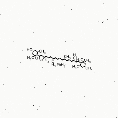 CC1=C(/C=C/C(C)=C/C=C/C(C)=C/C=C/C=C(C)/C=C/C=C(C)/C=C/C2=C(C)C[C@@H](O)CC2(C)C)C(C)(C)C[C@H](O)C1.[PbH2]